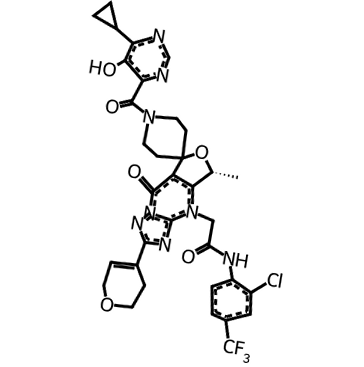 C[C@H]1OC2(CCN(C(=O)c3ncnc(C4CC4)c3O)CC2)c2c1n(CC(=O)Nc1ccc(C(F)(F)F)cc1Cl)c1nc(C3=CCOCC3)nn1c2=O